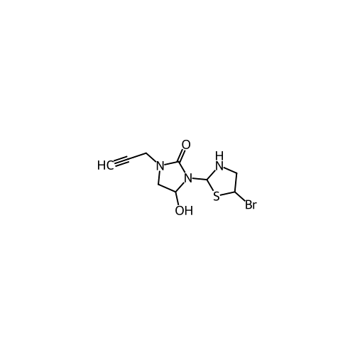 C#CCN1CC(O)N(C2NCC(Br)S2)C1=O